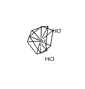 Cl.Cl.[CH]12[CH]3[CH]4[CH]5[CH]1[Ru]23451678[CH]2[CH]1[CH]6[CH]7[CH]28